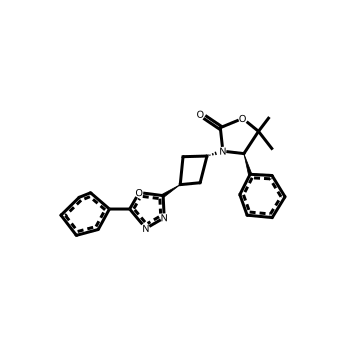 CC1(C)OC(=O)N([C@H]2C[C@H](c3nnc(-c4ccccc4)o3)C2)[C@@H]1c1ccccc1